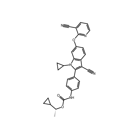 C[C@@H](OC(=O)Nc1ccc(-c2c(C#N)c3ccc(Oc4ncccc4C#N)cc3n2C2CC2)cc1)C1CC1